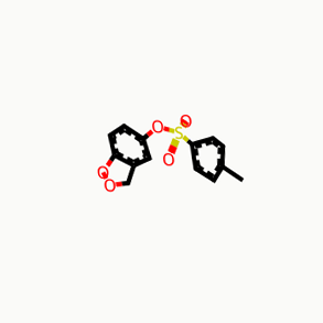 Cc1ccc(S(=O)(=O)Oc2ccc3c(c2)COO3)cc1